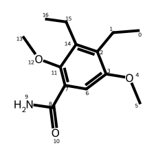 CCc1c(OC)cc(C(N)=O)c(OC)c1CC